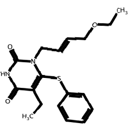 CCOCC=CCn1c(Sc2ccccc2)c(CC)c(=O)[nH]c1=O